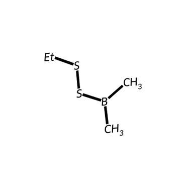 CCSSB(C)C